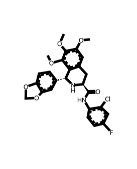 COc1cc2c(c(OC)c1OC)[C@@H](c1ccc3c(c1)OCO3)N[C@H](C(=O)Nc1ccc(F)cc1Cl)C2